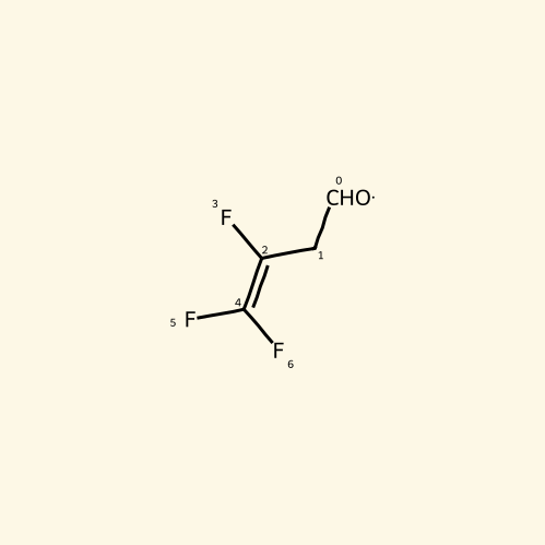 O=[C]CC(F)=C(F)F